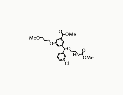 COCCCOc1cc(C(=O)OC)cc(C(OCCNC(=O)OC)c2cccc(Cl)c2)c1